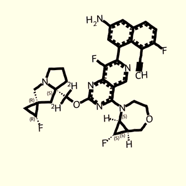 [2H]C([2H])(Oc1nc(N2CCOC[C@H]3[C@H](F)[C@H]32)c2cnc(-c3cc(N)cc4ccc(F)c(C#C)c34)c(F)c2n1)[C@@]12CCCN1C[C@]1(C[C@H]1F)C2